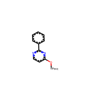 CCCCCOc1ccnc(-c2ccccc2)n1